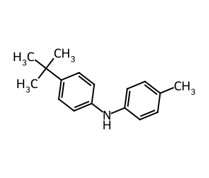 Cc1ccc(Nc2ccc(C(C)(C)C)cc2)cc1